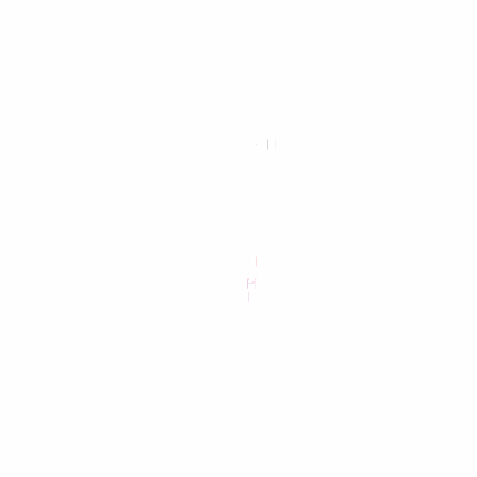 CC(=O)Cc1ccc(OCc2ccccc2[PH](=O)O)cc1